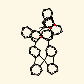 Cn1c2ccccc2c2cccc(N(c3ccc4c(c3)C3(c5ccccc5-c5ccc(N(c6ccccc6)c6ccccc6)cc53)c3ccccc3-4)c3ccccc3-c3ccccc3)c21